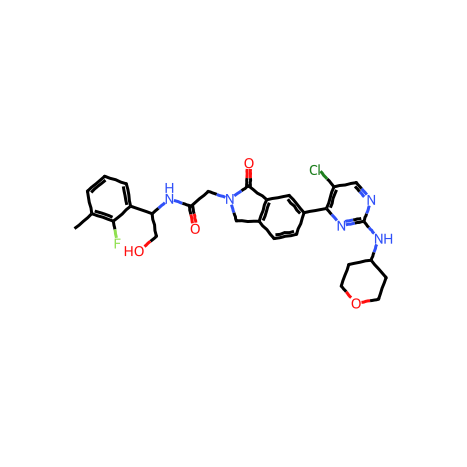 Cc1cccc(C(CO)NC(=O)CN2Cc3ccc(-c4nc(NC5CCOCC5)ncc4Cl)cc3C2=O)c1F